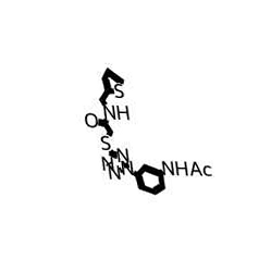 CC(=O)Nc1cccc(-n2nnc(SCC(=O)NCc3cccs3)n2)c1